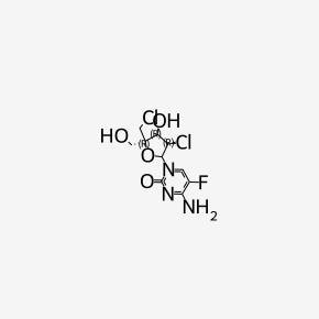 Nc1nc(=O)n(C2O[C@@](CO)(CCl)[C@@H](O)[C@H]2Cl)cc1F